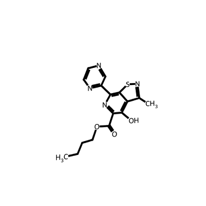 CCCCOC(=O)c1nc(-c2cnccn2)c2snc(C)c2c1O